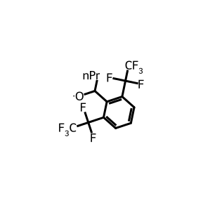 CCCC([O])c1c(C(F)(F)C(F)(F)F)cccc1C(F)(F)C(F)(F)F